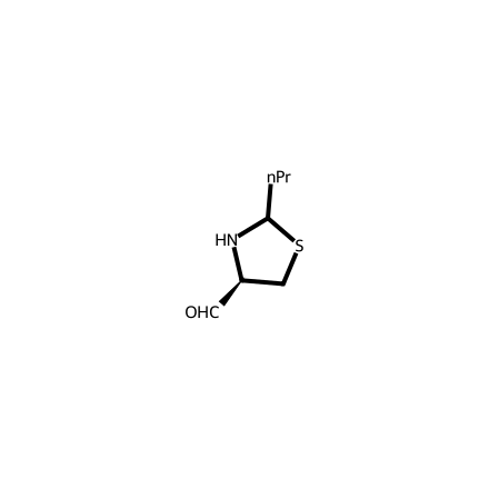 CCCC1N[C@H](C=O)CS1